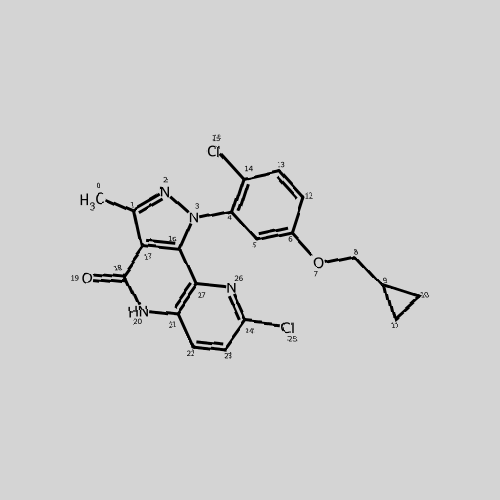 Cc1nn(-c2cc(OCC3CC3)ccc2Cl)c2c1c(=O)[nH]c1ccc(Cl)nc12